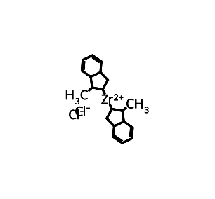 CC1[CH]([Zr+2][CH]2CC3C=CC=CC3C2C)CC2C=CC=CC21.[Cl-].[Cl-]